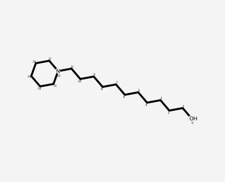 OCCCCCCCCCCCN1CCCCC1